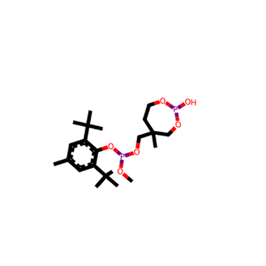 COP(OCC1(C)CCOP(O)OC1)Oc1c(C(C)(C)C)cc(C)cc1C(C)(C)C